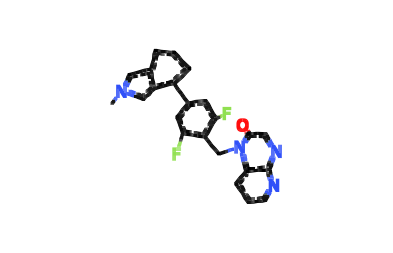 Cn1cc2cccc(-c3cc(F)c(Cn4c(=O)cnc5ncccc54)c(F)c3)c2c1